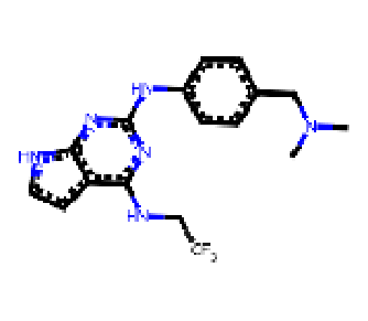 CN(C)Cc1ccc(Nc2nc(NCC(F)(F)F)c3cc[nH]c3n2)cc1